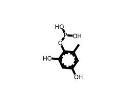 Cc1cc(O)cc(O)c1OP(O)O